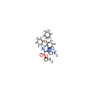 COC(=O)C(N=Cc1ccccc1B(c1ccccc1)c1ccccc1)=C(C)N